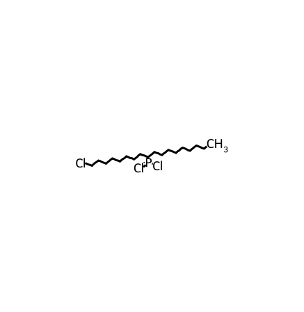 CCCCCCCCCCCCCCCCCCCl.Cl[P]Cl